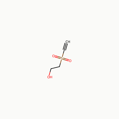 C#CS(=O)(=O)CCO